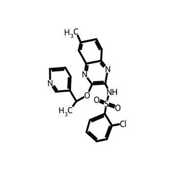 Cc1ccc2nc(NS(=O)(=O)c3ccccc3Cl)c(OC(C)c3cccnc3)nc2c1